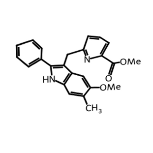 COC(=O)c1cccc(Cc2c(-c3ccccc3)[nH]c3cc(C)c(OC)cc23)n1